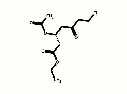 CCOC(=O)C[C@@H](CC(=O)CCCl)OC(C)=O